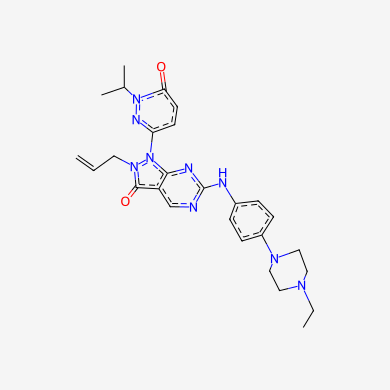 C=CCn1c(=O)c2cnc(Nc3ccc(N4CCN(CC)CC4)cc3)nc2n1-c1ccc(=O)n(C(C)C)n1